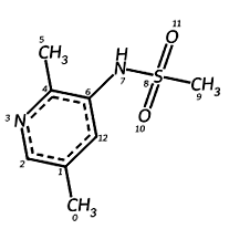 Cc1cnc(C)c(NS(C)(=O)=O)c1